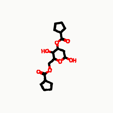 O=C(OCC1OC(O)CC(OC(=O)C2CCCC2)C1O)C1CCCC1